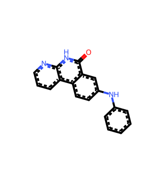 O=c1[nH]c2ncccc2c2ccc(Nc3ccccc3)cc12